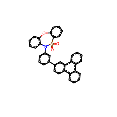 O=S1(=O)c2ccccc2Oc2ccccc2N1c1cccc(-c2ccc3c4ccccc4c4ccccc4c3c2)c1